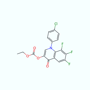 CCOC(=O)Oc1cn(-c2ccc(Cl)cc2)c2c(F)c(F)c(F)cc2c1=O